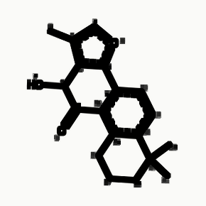 Cc1coc2c1C(O)C(=O)c1c-2ccc2c1CCCC2(C)C